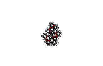 c1ccc(-c2ccc(-c3ccccc3)c(N(c3ccccc3-c3cccc4cccc(-c5ccccc5)c34)c3ccccc3-c3cccc4cccc(-c5ccccc5)c34)c2)cc1